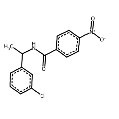 CC(NC(=O)c1ccc([N+](=O)[O-])cc1)c1cccc(Cl)c1